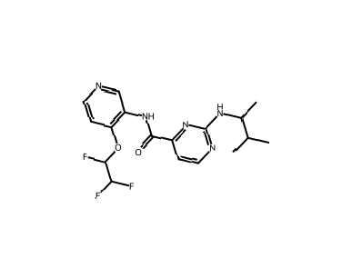 CC(C)C(C)Nc1nccc(C(=O)Nc2cnccc2OC(F)C(F)F)n1